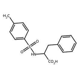 [CH2]c1ccc(S(=O)(=O)NC(Cc2ccccc2)C(=O)O)cc1